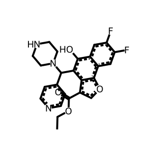 CCOC(=O)c1coc2c1c(C(c1ccncc1)N1CCNCC1)c(O)c1cc(F)c(F)cc12